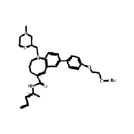 C=C/C=C(\C)NC(=O)/C1=C/c2cc(-c3ccc(OCCOCCCC)cc3)ccc2N(CC2CN(C)CCO2)CCC1